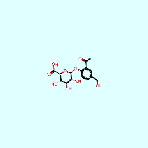 CC(=O)c1cc(CO)ccc1O[C@@H]1O[C@H](C(=O)O)[C@@H](O)[C@H](O)[C@H]1O